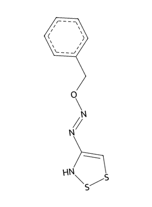 C1=C(N=NOCc2ccccc2)NSS1